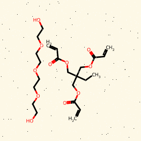 C=CC(=O)OCC(CC)(COC(=O)C=C)COC(=O)C=C.OCCOCCOCCOCCO